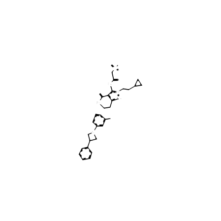 CCc1cc(N2CC(c3ccccc3)C2)ccc1[C@H]1Cc2nn(CCC3CC3)c(NC(=O)CS(C)(=O)=O)c2C(=O)N1